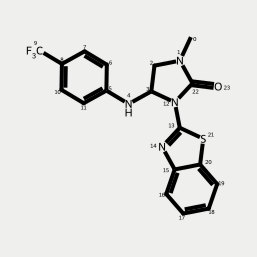 CN1CC(Nc2ccc(C(F)(F)F)cc2)N(c2nc3ccccc3s2)C1=O